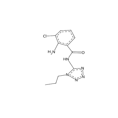 CCCn1nnnc1NC(=O)c1cccc(Cl)c1N